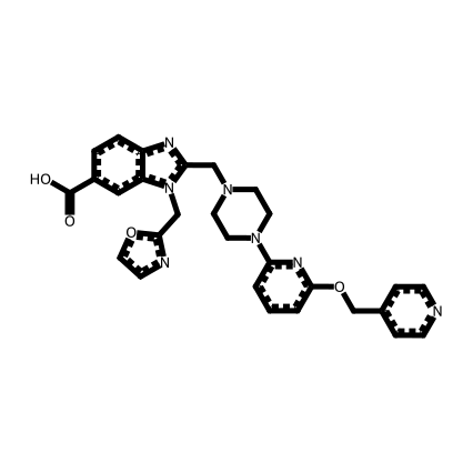 O=C(O)c1ccc2nc(CN3CCN(c4cccc(OCc5ccncc5)n4)CC3)n(Cc3ncco3)c2c1